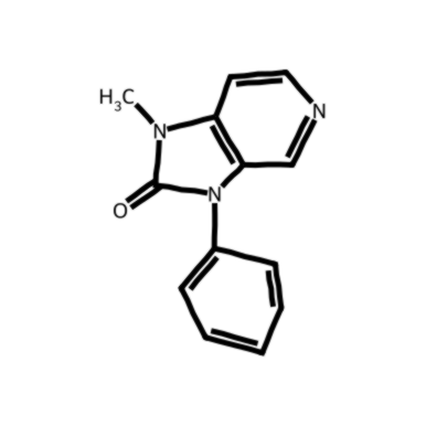 Cn1c(=O)n(-c2ccccc2)c2cnccc21